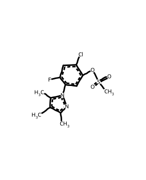 Cc1nn(-c2cc(OS(C)(=O)=O)c(Cl)cc2F)c(C)c1C